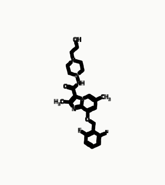 Cc1cc(OCc2c(F)cccc2F)c2nc(C)c(C(=O)NN3CCN(CCO)CC3)n2c1